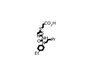 CC[C@H]1CC[C@H](N(CCC(C)C)C(=O)Nc2ncc(SCCC(=O)O)s2)CC1